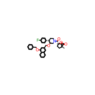 CC1(C)[C@@]2(C)CC[C@@]1(C(=O)N1CC[C@@H](c3ccc(F)cc3)[C@H](OCc3cc(OCc4ccccc4)c4ccccc4c3)C1)OC2=O